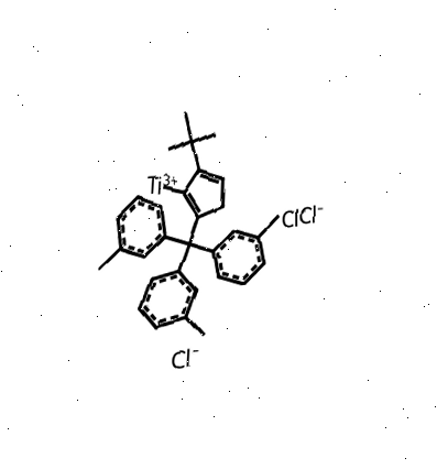 Cc1cccc(C(C2=[C]([Ti+3])C(C(C)(C)C)=CC2)(c2cccc(C)c2)c2cccc(C)c2)c1.[Cl-].[Cl-].[Cl-]